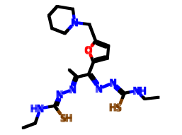 CCN/C(S)=N/N=C(/C(C)=N/N=C(\S)NCC)c1ccc(CN2CCCCC2)o1